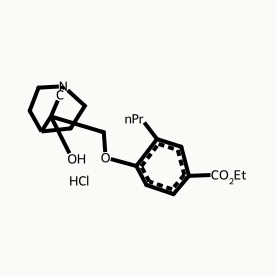 CCCc1cc(C(=O)OCC)ccc1OCC1(O)CN2CCC1CC2.Cl